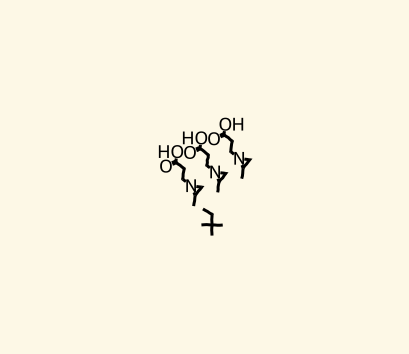 CC1CN1CCC(=O)O.CC1CN1CCC(=O)O.CC1CN1CCC(=O)O.CCC(C)(C)C